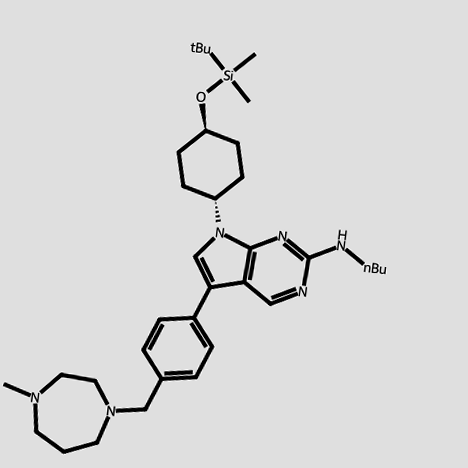 CCCCNc1ncc2c(-c3ccc(CN4CCCN(C)CC4)cc3)cn([C@H]3CC[C@H](O[Si](C)(C)C(C)(C)C)CC3)c2n1